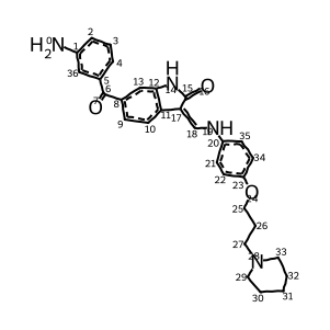 Nc1cccc(C(=O)c2ccc3c(c2)NC(=O)C3=CNc2ccc(OCCCN3CCCCC3)cc2)c1